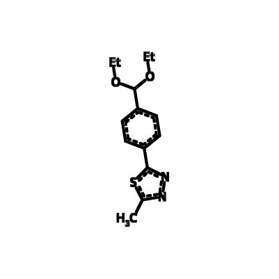 CCOC(OCC)c1ccc(-c2nnc(C)s2)cc1